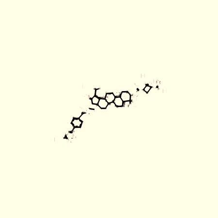 Cc1nnc(-c2ccc(C(=O)NCC[C@@]34CC[C@]5(C)C(CC[C@@H]6[C@@]7(C)CC[C@H](OC(=O)[C@H]8C[C@@H](C(=O)O)C8(C)C)C(C)(C)[C@@H]7CC[C@]65C)C3=C(C(C)C)C(=O)C4)cc2)o1